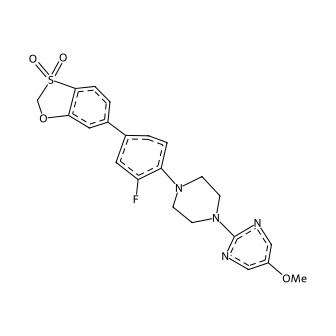 COc1cnc(N2CCN(c3ccc(-c4ccc5c(c4)OCS5(=O)=O)cc3F)CC2)nc1